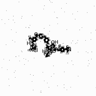 CNc1nc(Nc2ccc(C(=O)N3CCN(CC4CCC(CSC(C)(C)[C@H](NC(=O)C5(F)CC5)C(=O)N5C[C@H](O)C[C@@H]5C(=O)NCc5ccc(-c6scnc6C)cc5F)CC4)CC3)cc2OC)ncc1Cl